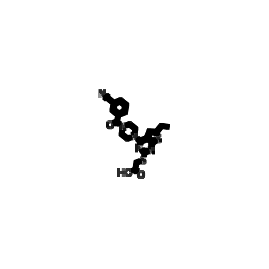 CCc1cc2c(N3CCN(C(=O)c4cccc(C#N)c4)CC3)nc(SCC(=O)O)nc2s1